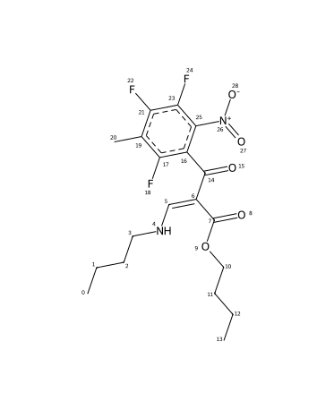 CCCCNC=C(C(=O)OCCCC)C(=O)c1c(F)c(C)c(F)c(F)c1[N+](=O)[O-]